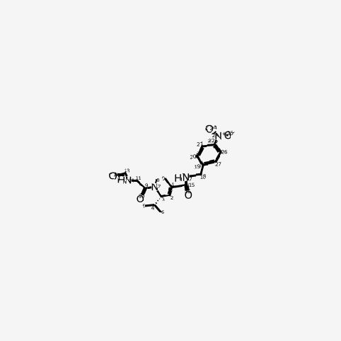 C/C(=C\[C@H](C(C)C)N(C)C(=O)CNC=O)C(=O)NCc1ccc([N+](=O)[O-])cc1